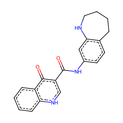 O=C(Nc1ccc2c(c1)NCCCC2)c1c[nH]c2ccccc2c1=O